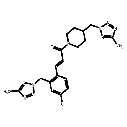 Cc1nnn(Cc2cc(Cl)ccc2C=CC(=O)N2CCC(Cn3nnc(C)n3)CC2)n1